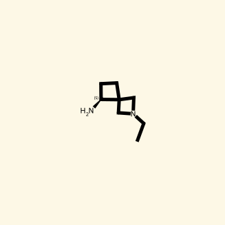 CCN1CC2(CC[C@@H]2N)C1